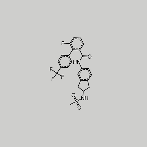 CS(=O)(=O)NC1Cc2ccc(NC(=O)c3cccc(F)c3-c3ccc(C(F)(F)F)cc3)cc2C1